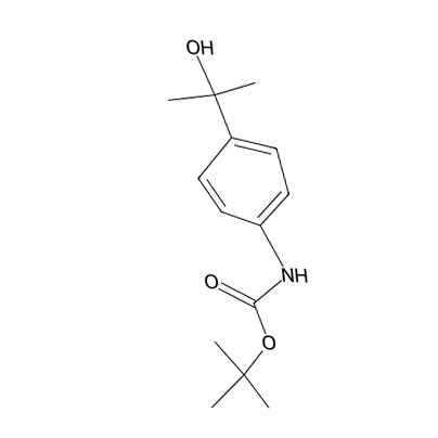 CC(C)(C)OC(=O)Nc1ccc(C(C)(C)O)cc1